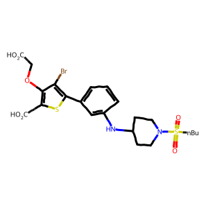 CCCCS(=O)(=O)N1CCC(Nc2cccc(-c3sc(C(=O)O)c(OCC(=O)O)c3Br)c2)CC1